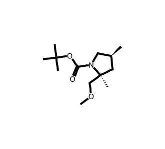 COC[C@]1(C)C[C@H](C)CN1C(=O)OC(C)(C)C